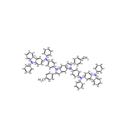 Cc1ccc(-c2cc3cc4c(cc(-c5ccc(C)cc5)n4-c4ccc(N(c5ccccc5)c5ccc6c(c5)c5ccccc5n6-c5ccccc5)cc4)cc3n2-c2ccc(N(c3ccccc3)c3ccc4c(c3)c3ccccc3n4-c3ccccc3)cc2)cc1